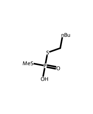 CCCCCSP(=O)(O)SC